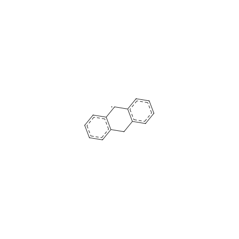 [CH]1c2ccccc2Cc2ccccc21